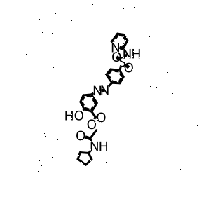 O=C(COC(=O)c1cc(N=Nc2ccc(S(=O)(=O)Nc3ccccn3)cc2)ccc1O)NC1CCCC1